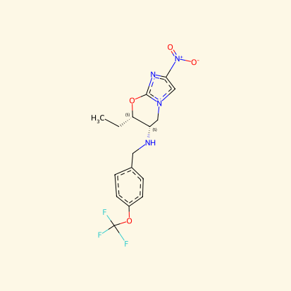 CC[C@@H]1Oc2nc([N+](=O)[O-])cn2C[C@@H]1NCc1ccc(OC(F)(F)F)cc1